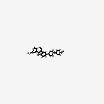 CCc1c(-c2ccnc(OC)c2)[nH]c2ccc(C3CCN(C4CCN(C)CC4)CC3)cc12